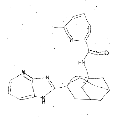 Cc1cccc(C(=O)NC23CC4CC(C2)CC(c2nc5ncccc5[nH]2)(C4)C3)n1